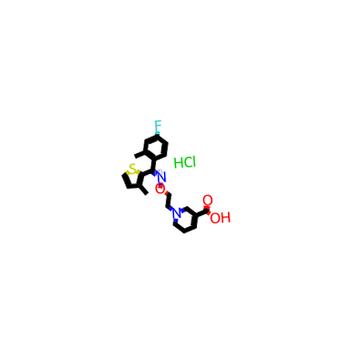 Cc1cc(F)ccc1/C(=N/OCCN1CCC=C(C(=O)O)C1)c1sccc1C.Cl